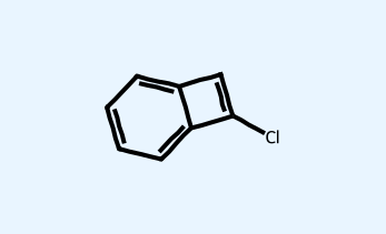 ClC1=Cc2ccccc21